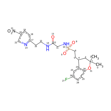 CC1(C)CC(CCS(=O)(=O)NCC(=O)NCCc2ccc([N+](=O)[O-])cn2)c2cc(F)ccc2O1